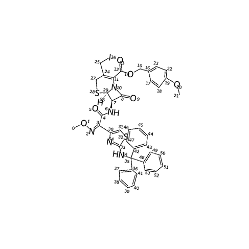 CO/N=C(\C(=O)N[C@@H]1C(=O)N2C(C(=O)OCc3ccc(OC)cc3)=C(CI)CS[C@H]12)c1csc(NC(c2ccccc2)(c2ccccc2)c2ccccc2)n1